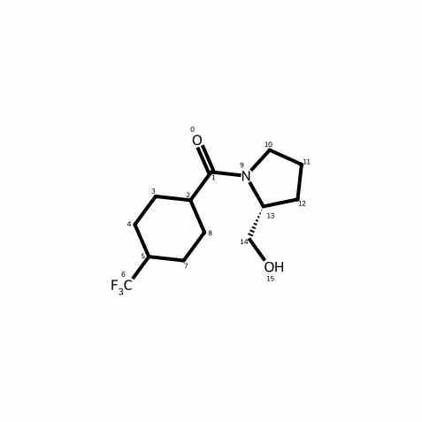 O=C(C1CCC(C(F)(F)F)CC1)N1CCC[C@@H]1CO